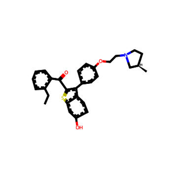 CCc1ccccc1C(=O)c1sc2cc(O)ccc2c1-c1ccc(OCCN2CC[C@@H](C)C2)cc1